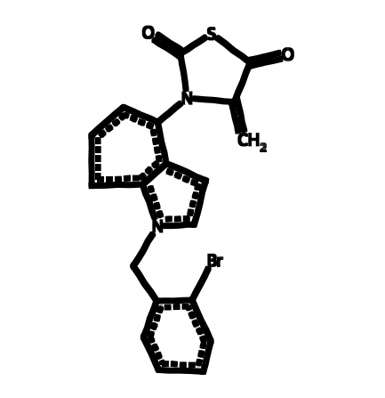 C=C1C(=O)SC(=O)N1c1cccc2c1ccn2Cc1ccccc1Br